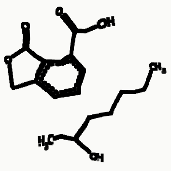 CCCCCC(C)O.O=C(O)c1cccc2c1C(=O)OC2